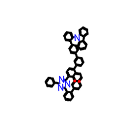 c1ccc(-c2nc(-c3ccccc3-c3ccccc3)nc(-c3ccc(-c4cccc(-c5ccc(-c6ccccc6-n6c7ccccc7c7ccccc76)cc5)c4)c4ccccc34)n2)cc1